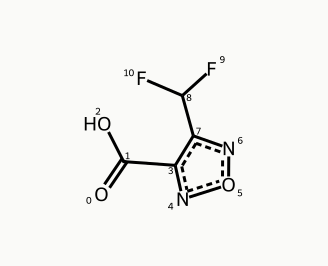 O=C(O)c1nonc1C(F)F